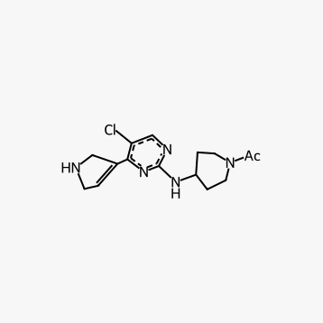 CC(=O)N1CCC(Nc2ncc(Cl)c(C3=CCNC3)n2)CC1